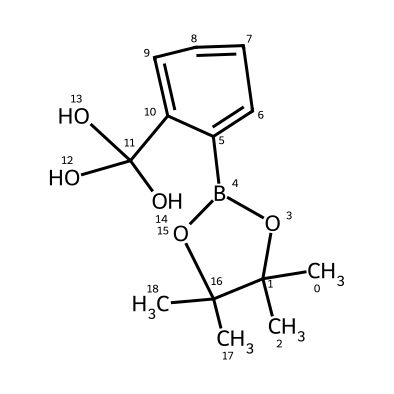 CC1(C)OB(c2ccccc2C(O)(O)O)OC1(C)C